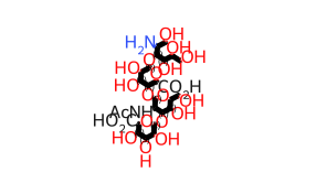 CC(=O)NC1[C@H](O[C@H]2C(C(=O)O)O[C@@H](O[C@H](C(N)CO)[C@H](O)C(O)CO)C(O)[C@H]2O)OC(CO)[C@@H](O)[C@@H]1O[C@@H]1OC(C(=O)O)[C@@H](O)[C@H](O)C1O